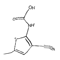 Cc1cc(C#N)c(NC(=O)O)s1